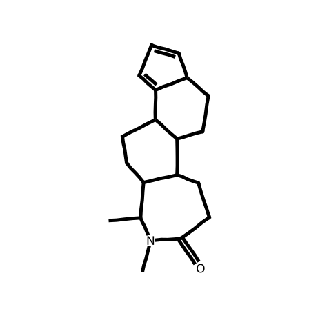 CC1C2CCC3C4=CC=CC4CCC3C2CCC(=O)N1C